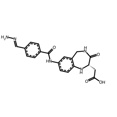 NN=Cc1ccc(C(=O)Nc2ccc3c(c2)CNC(=O)[C@H](CC(=O)O)N3)cc1